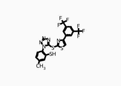 Cc1ccc(-n2nnnc2Sc2nc(-c3cc(C(F)(F)F)cc(C(F)(F)F)c3)cs2)c(S)c1